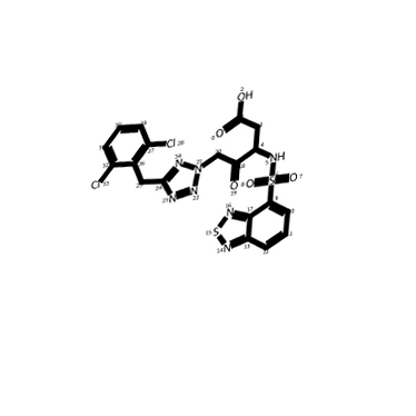 O=C(O)CC(NS(=O)(=O)c1cccc2nsnc12)C(=O)Cn1nnc(Cc2c(Cl)cccc2Cl)n1